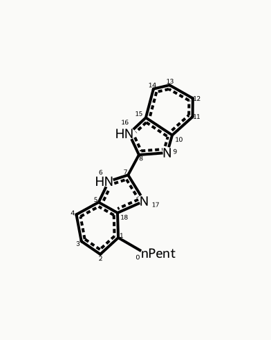 CCCCCc1cccc2[nH]c(-c3nc4ccccc4[nH]3)nc12